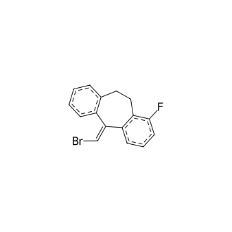 Fc1cccc2c1CCc1ccccc1C2=CBr